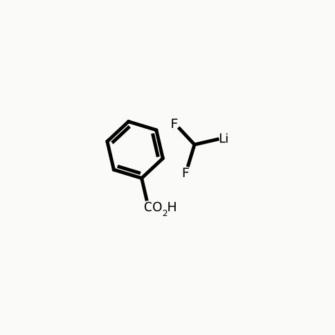 O=C(O)c1ccccc1.[Li][CH](F)F